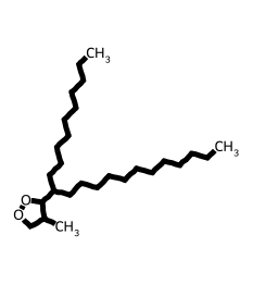 CCCCCCCCCCCCC(CCCCCCCCCC)C1OOCC1C